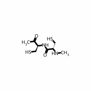 CN[C@@H](CS)C(=O)N[C@@H](CS)C(C)=O